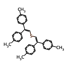 Cc1ccc(C(=CSC=C(c2ccc(C)cc2)c2ccc(C)cc2)c2ccc(C)cc2)cc1